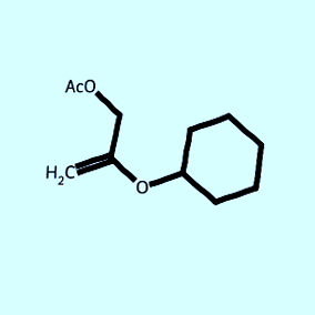 C=C(COC(C)=O)OC1CCCCC1